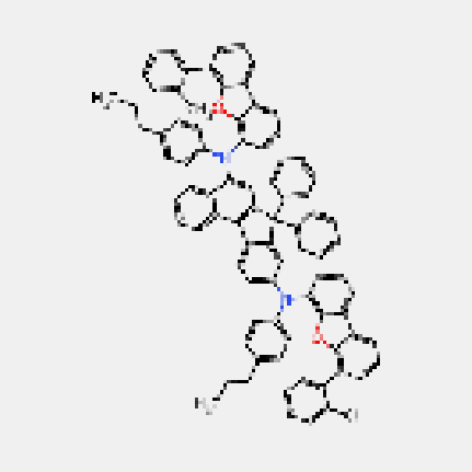 CCCc1ccc(N(c2ccc3c(c2)C(c2ccccc2)(c2ccccc2)c2cc(N(c4ccc(CCC)cc4)c4cccc5c4oc4c(-c6ccccc6C)cccc45)c4ccccc4c2-3)c2cccc3c2oc2c(-c4ccccc4C)cccc23)cc1